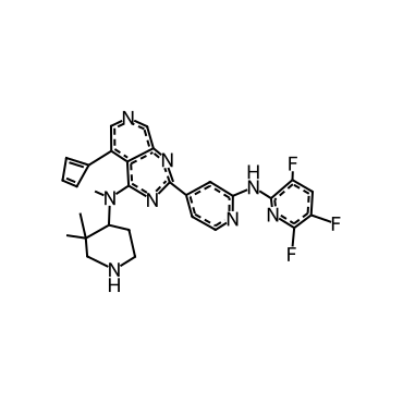 CN(c1nc(-c2ccnc(Nc3nc(F)c(F)cc3F)c2)nc2cncc(C3=CC=C3)c12)C1CCNCC1(C)C